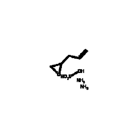 C=CCC1CO1.N.N.O=S(=O)(O)O